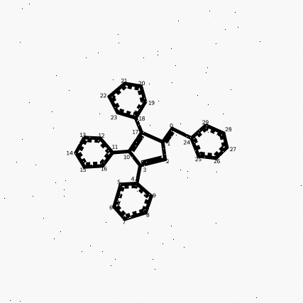 C(=C1C=C(c2ccccc2)C(c2ccccc2)=C1c1ccccc1)c1ccccc1